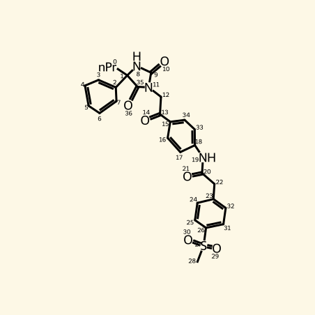 CCCC1(c2ccccc2)NC(=O)N(CC(=O)c2ccc(NC(=O)Cc3ccc(S(C)(=O)=O)cc3)cc2)C1=O